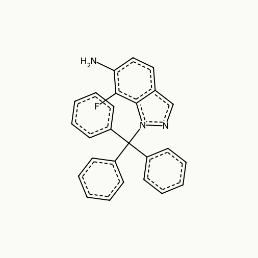 Nc1ccc2cnn(C(c3ccccc3)(c3ccccc3)c3ccccc3)c2c1F